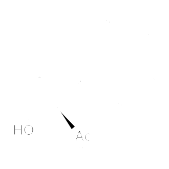 CC(=O)[C@](C)(O)c1ccccc1